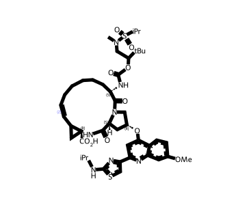 COc1ccc2c(O[C@@H]3C[C@H]4C(=O)N[C@]5(C(=O)O)CC5/C=C\CCCCC[C@H](NC(=O)OC(CN(C)S(=O)(=O)C(C)C)C(C)(C)C)C(=O)N4C3)cc(-c3csc(NC(C)C)n3)nc2c1